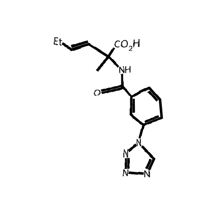 CCC=CC(C)(NC(=O)c1cccc(-n2cnnn2)c1)C(=O)O